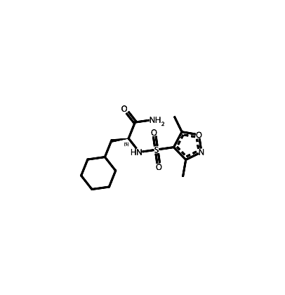 Cc1noc(C)c1S(=O)(=O)N[C@@H](CC1CCCCC1)C(N)=O